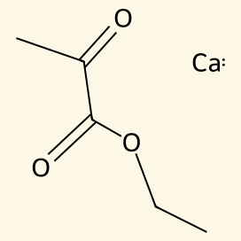 CCOC(=O)C(C)=O.[Ca]